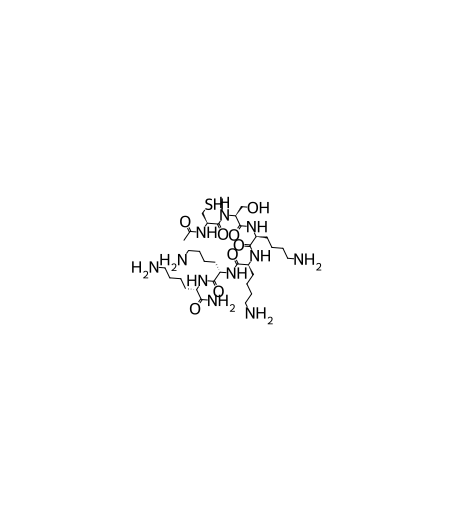 CC(=O)N[C@@H](CS)C(=O)N[C@@H](CO)C(=O)N[C@@H](CCCCN)C(=O)N[C@@H](CCCCN)C(=O)N[C@@H](CCCCN)C(=O)N[C@@H](CCCCN)C(N)=O